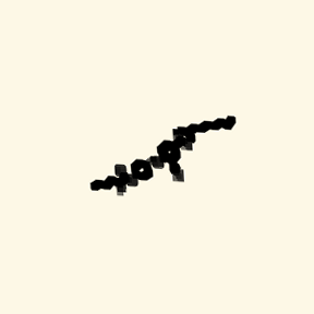 CCCCCCCc1cnc(-c2ccc(OC[C@H]3CC[C@H](OC(=O)[C@@H](F)CCCC)CC3)c(C#N)c2)nc1